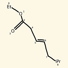 CCOC(=O)CC=CCC(C)C